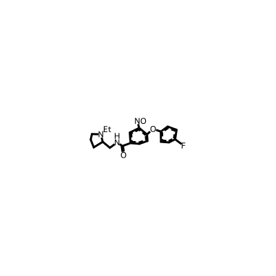 CCN1CCCC1CNC(=O)c1ccc(Oc2ccc(F)cc2)c(N=O)c1